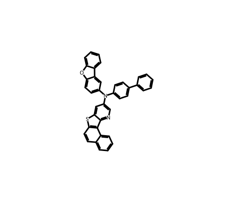 c1ccc(-c2ccc(N(c3cnc4c(c3)sc3ccc5ccccc5c34)c3ccc4oc5ccccc5c4c3)cc2)cc1